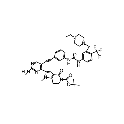 CCN1CCN(Cc2cc(NC(=O)Nc3cccc(C#Cc4cnc(N)nc4-c4cc5c(n4C)CCN(C(=O)OC(C)(C)C)C5=O)c3)ccc2C(F)(F)F)CC1